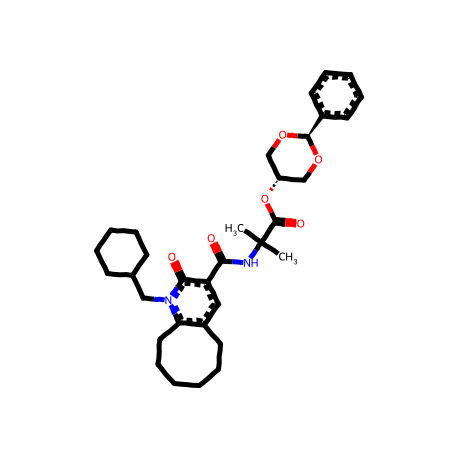 CC(C)(NC(=O)c1cc2c(n(CC3CCCCC3)c1=O)CCCCCC2)C(=O)O[C@H]1CO[C@H](c2ccccc2)OC1